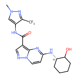 Cn1cc(NC(=O)c2cnn3ccc(N[C@H]4CCCCC4O)nc23)c(C(F)(F)F)n1